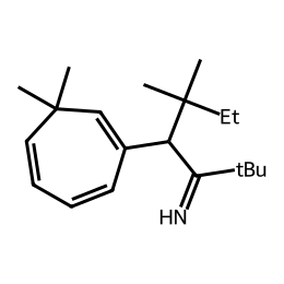 CCC(C)(C)C(C(=N)C(C)(C)C)C1=CC(C)(C)C=CC=C1